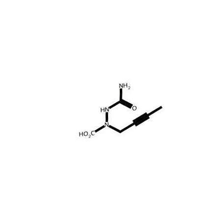 CC#CCN(NC(N)=O)C(=O)O